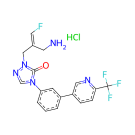 Cl.NC/C(=C\F)Cn1ncn(-c2cccc(-c3ccc(C(F)(F)F)nc3)c2)c1=O